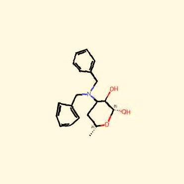 C[C@@H]1CC(N(Cc2ccccc2)Cc2ccccc2)C(O)[C@H](O)O1